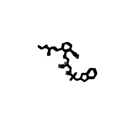 CCOC(=O)C=Cc1cccc(C#N)c1OC[C@H](O)CNC(C)(C)CC1Cc2ccccc2C1